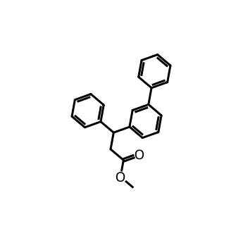 COC(=O)CC(c1ccccc1)c1cccc(-c2ccccc2)c1